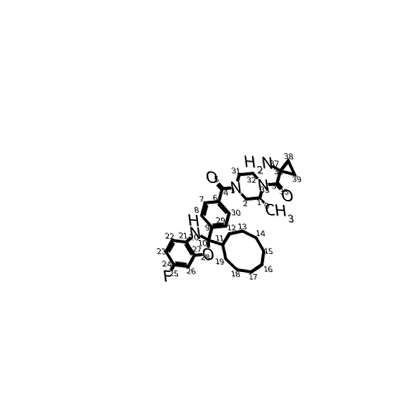 C[C@H]1CN(C(=O)c2ccc(C3(C4CCCCCCCC4)Nc4ccc(F)cc4O3)cc2)CCN1C(=O)C1(N)CC1